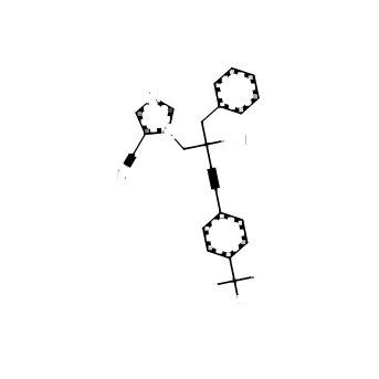 N#Cc1cncn1CC(O)(C#Cc1ccc(C(F)(F)F)cc1)Cc1ccccc1